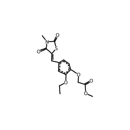 CCOc1cc(/C=C2\SC(=O)N(C)C2=O)ccc1OCC(=O)OC